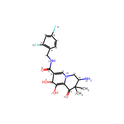 CC1(C)C(=O)C2=C(O)C(O)C(C(=O)NCc3ccc(F)cc3F)=CN2CC1N